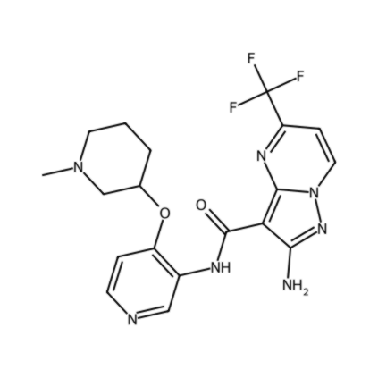 CN1CCCC(Oc2ccncc2NC(=O)c2c(N)nn3ccc(C(F)(F)F)nc23)C1